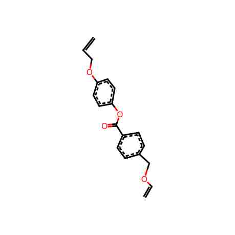 C=CCOc1ccc(OC(=O)c2ccc(COC=C)cc2)cc1